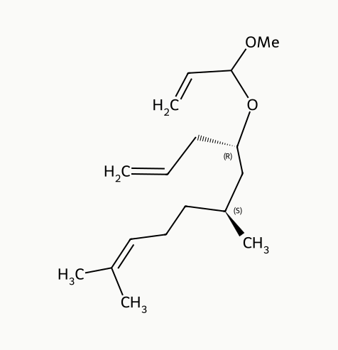 C=CC[C@@H](C[C@@H](C)CCC=C(C)C)OC(C=C)OC